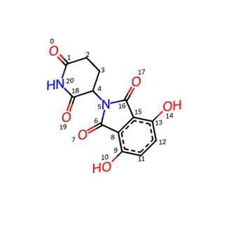 O=C1CCC(N2C(=O)c3c(O)ccc(O)c3C2=O)C(=O)N1